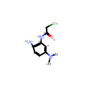 CCN(CC)c1ccc(N)c(NC(=O)CCl)c1